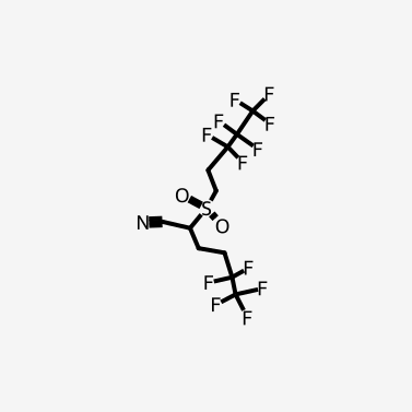 N#CC(CCC(F)(F)C(F)(F)F)S(=O)(=O)CCC(F)(F)C(F)(F)C(F)(F)F